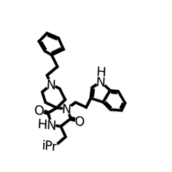 CC(C)CC1NC(=O)C2(CCN(CCc3ccccc3)CC2)N(CCc2c[nH]c3ccccc23)C1=O